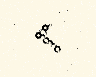 O=C(CC1CN(C2=Nc3cc(Cl)ccc3Oc3ccccc32)CCN1)OC1CCOCC1